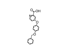 O=C(O)c1cc(Oc2ccc(OCc3ccccc3)cc2)ccn1